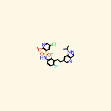 COc1ncc(Cl)cc1S(=O)(=O)Nc1ccc(F)c(CCc2cnc3cnn(C(C)C)c3c2)c1F